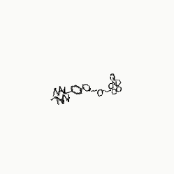 Cc1nnc(-c2ccc(OCCOCCC(=O)ON3C(=O)CCC3=O)cc2)nn1